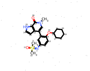 Cn1cc(-c2cc(N=S(C)(C)=O)ccc2OC2CCCCC2)c2cc[nH]c2c1=O